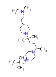 CC(CCC(C)(C)N1CCC(CCN(C)C)CC1)N1CCN(CC(C)(C)C)CC1